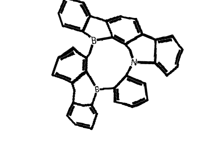 c1ccc2c(c1)B1c3ccccc3-n3c4ccccc4c4ccc5c(c43)B(c3ccccc3-5)c3cccc-2c31